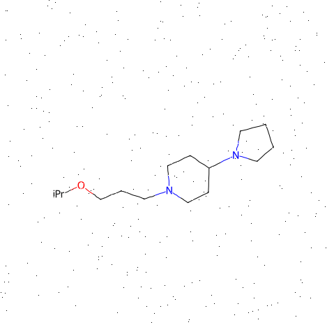 CC(C)OCCCN1CCC(N2CCCC2)CC1